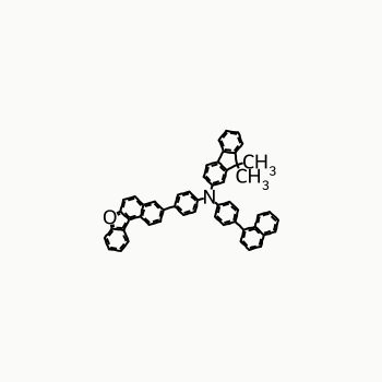 CC1(C)c2ccccc2-c2ccc(N(c3ccc(-c4ccc5c(ccc6oc7ccccc7c65)c4)cc3)c3ccc(-c4cccc5ccccc45)cc3)cc21